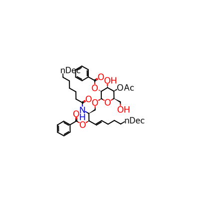 CCCCCCCCCCCCC/C=C/[C@@H](OC(=O)c1ccccc1)[C@H](CO[C@@H]1O[C@H](CO)[C@H](OC(C)=O)[C@H](O)[C@H]1OC(=O)c1ccccc1)NC(=O)CCCCCCCCCCCCCCC